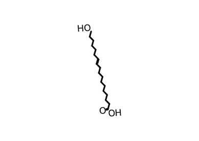 O=C(O)CCCCCCCCC/C=C/CCCCCCO